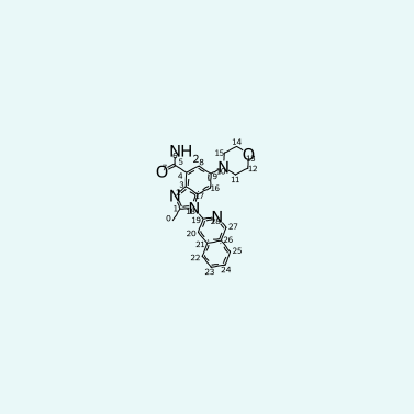 Cc1nc2c(C(N)=O)cc(N3CCOCC3)cc2n1-c1cc2ccccc2cn1